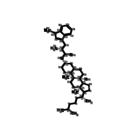 CC(C)CCC[C@@H](C)C1CCC2[C@@H]3CC=C4C[C@@H](OC(=O)[C@H](N)Cc5cn(C)c6ccccc56)CC[C@]4(C)C3CC[C@@]21C